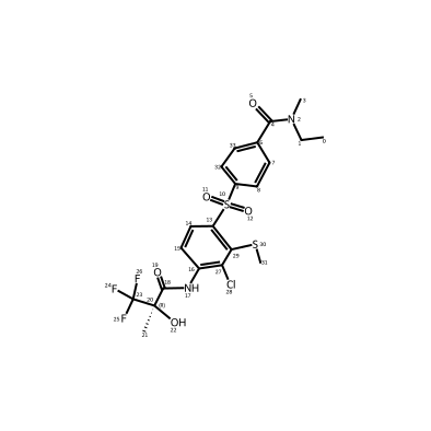 CCN(C)C(=O)c1ccc(S(=O)(=O)c2ccc(NC(=O)[C@@](C)(O)C(F)(F)F)c(Cl)c2SC)cc1